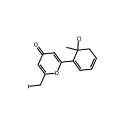 CC1(Cl)CC=CC=C1c1cc(=O)cc(CI)o1